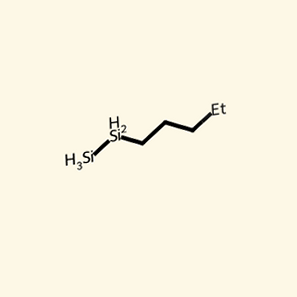 CCCCC[SiH2][SiH3]